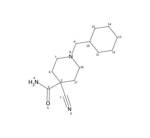 N#CC1(C(N)=O)CCN(CC2CCCCC2)CC1